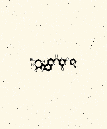 CC[C@@H]1CNc2c(sc3ccc4nc(Nc5cc(Cl)nc(O[C@@H]6CCN(C)C6)n5)ccc4c23)C(=O)N1